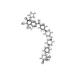 CC(=O)c1c(C)c2cnc(Nc3ccc(N4CCC(CN5CCN(c6ccc(C7CCC(=O)NC7=O)cc6)CC5)CC4)cn3)nc2n(C2CCCC2)c1=O